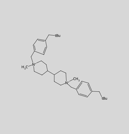 CC(C)(C)Cc1ccc(C[N+]2(C)CCC(C3CC[N+](C)(Cc4ccc(CC(C)(C)C)cc4)CC3)CC2)cc1